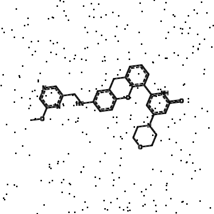 COc1cncc(CNc2ccc3c(c2)Cc2cccc(-c4cc(N5CCOCC5)cc(=O)[nH]4)c2O3)n1